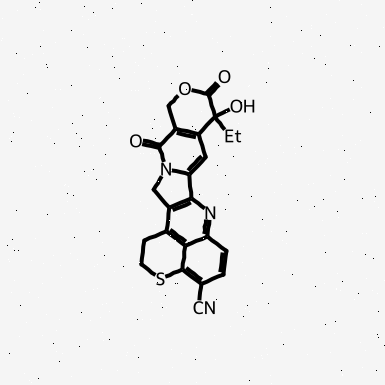 CCC1(O)C(=O)OCc2c1cc1n(c2=O)Cc2c-1nc1ccc(C#N)c3c1c2CCS3